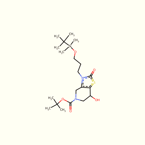 CC(C)(C)OC(=O)N1Cc2c(sc(=O)n2CCCO[Si](C)(C)C(C)(C)C)C(O)C1